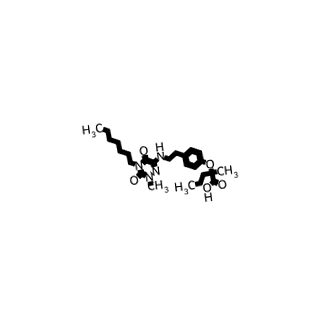 CCCCCCCn1c(=O)c(NCCc2ccc(OC(C)(CCC)C(=O)O)cc2)nn(C)c1=O